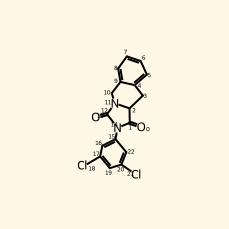 O=C1C2Cc3ccccc3CN2C(=O)N1c1cc(Cl)cc(Cl)c1